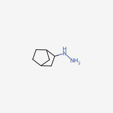 NNC1CC2CCC1C2